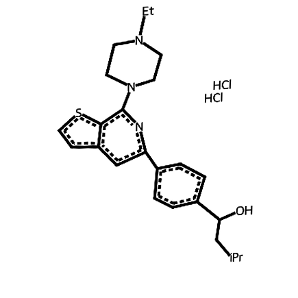 CCN1CCN(c2nc(-c3ccc(C(O)CC(C)C)cc3)cc3ccsc23)CC1.Cl.Cl